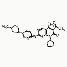 CC(=O)c1c(C)c2cnc(Nc3ccc(N4CCC(C)CC4)cn3)nc2n(C2CCCC2)c1=O